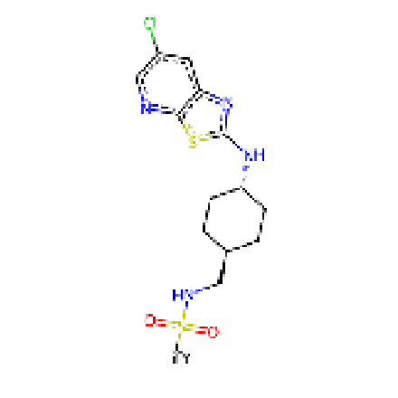 CC(C)S(=O)(=O)NC[C@H]1CC[C@H](Nc2nc3cc(Cl)cnc3s2)CC1